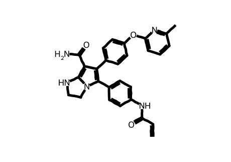 C=CC(=O)Nc1ccc(-c2c(-c3ccc(Oc4cccc(C)n4)cc3)c(C(N)=O)c3n2CCN3)cc1